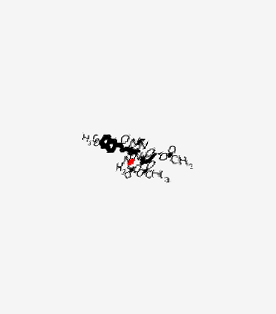 COc1ccc2cc(C(=O)Cc3ncnc4c3ncn4[C@@H]3O[C@H](COC(C)=O)[C@@H](OC(C)=O)[C@H]3OC(C)=O)ccc2c1